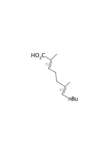 CCCC/C=C(\C)CC/C=C(\C)C(=O)O